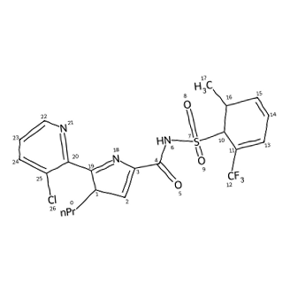 CCCC1C=C(C(=O)NS(=O)(=O)C2C(C(F)(F)F)=CC=CC2C)N=C1c1ncccc1Cl